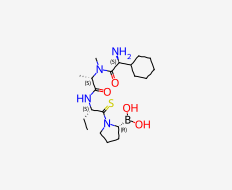 CC[C@H](NC(=O)[C@H](C)N(C)C(=O)[C@@H](N)C1CCCCC1)C(=S)N1CCC[C@H]1B(O)O